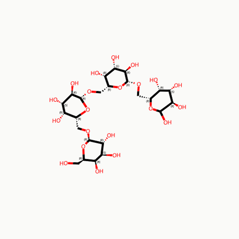 OC[C@H]1O[C@@H](OC[C@H]2O[C@@H](OC[C@H]3O[C@@H](OC[C@H]4OC(O)[C@H](O)[C@@H](O)[C@H]4O)[C@H](O)[C@@H](O)[C@H]3O)[C@H](O)[C@@H](O)[C@H]2O)[C@H](O)[C@@H](O)[C@H]1O